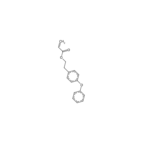 C=CC(=O)OCCc1ccc(Oc2ccccc2)cc1